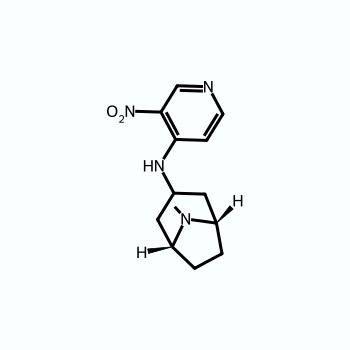 CN1[C@@H]2CC[C@H]1CC(Nc1ccncc1[N+](=O)[O-])C2